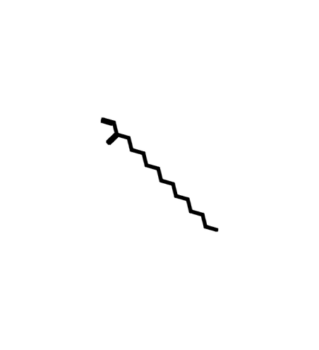 C=CC(=C)CCCCCCCCCCCCC